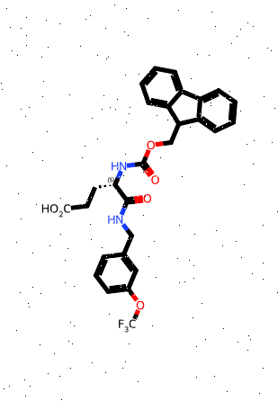 O=C(O)CC[C@H](NC(=O)OCC1c2ccccc2-c2ccccc21)C(=O)NCc1cccc(OC(F)(F)F)c1